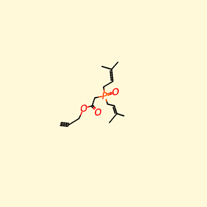 C#CCOC(=O)CP(=O)(CC=C(C)C)CC=C(C)C